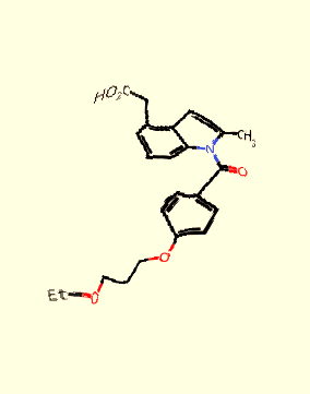 CCOCCCOc1ccc(C(=O)n2c(C)cc3c(CC(=O)O)cccc32)cc1